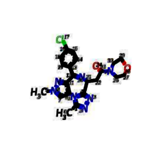 Cc1nnc2n1-c1cn(C)nc1C(c1ccc(Cl)cc1)=NC2CC(=O)N1CCOCC1